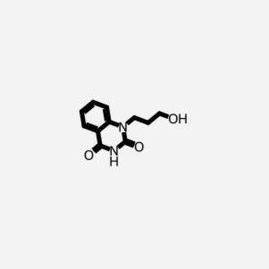 O=c1[nH]c(=O)n(CCCO)c2ccccc12